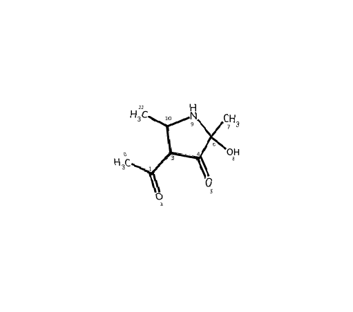 CC(=O)C1C(=O)C(C)(O)NC1C